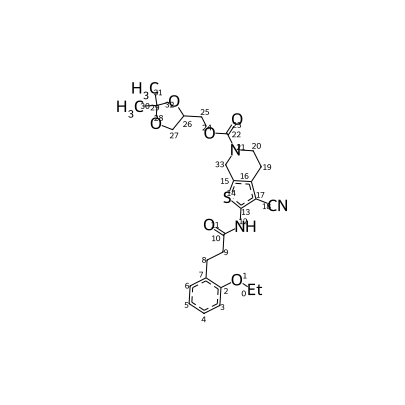 CCOc1ccccc1CCC(=O)Nc1sc2c(c1C#N)CCN(C(=O)OCC1COC(C)(C)O1)C2